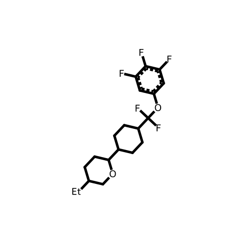 CCC1CCC(C2CCC(C(F)(F)Oc3cc(F)c(F)c(F)c3)CC2)OC1